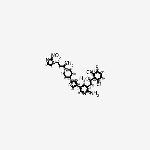 C=C(CCn1ccnc1[N+](=O)[O-])N1CCC(n2cc(-c3cnc(N)c(CC(C)c4c(Cl)ccc(F)c4Cl)c3)cn2)CC1